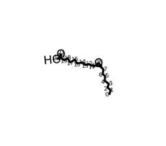 CCCCCCCCC1OC1CCCCCCCCCC(=O)O